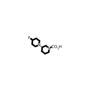 O=C(O)N1CCC[C@H](N2CCC(F)CC2)C1